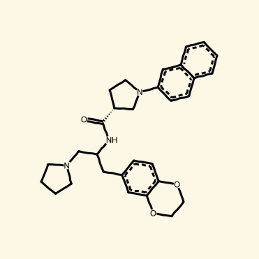 O=C(NC(Cc1ccc2c(c1)OCCO2)CN1CCCC1)[C@@H]1CCN(c2ccc3ccccc3c2)C1